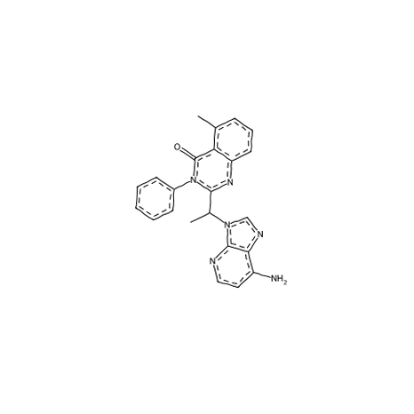 Cc1cccc2nc(C(C)n3cnc4c(N)ccnc43)n(-c3ccccc3)c(=O)c12